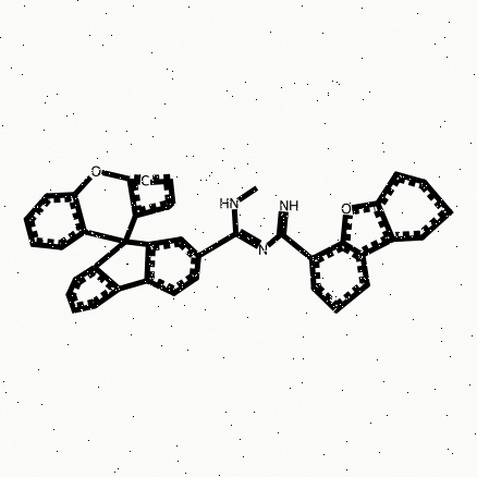 CN/C(=N\C(=N)c1cccc2c1oc1ccccc12)c1ccc2c(c1)C1(c3ccccc3Oc3ccccc31)c1ccccc1-2